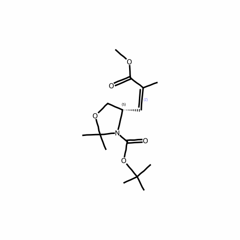 COC(=O)/C(C)=C\[C@H]1COC(C)(C)N1C(=O)OC(C)(C)C